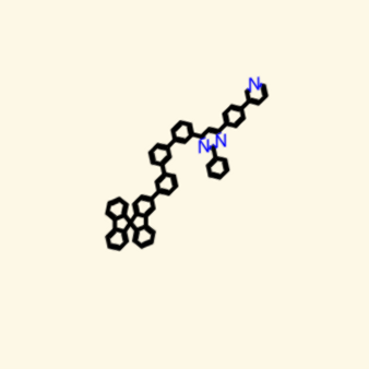 c1ccc(-c2nc(-c3ccc(-c4cccnc4)cc3)cc(-c3cccc(-c4cccc(-c5cccc(-c6ccc7c(c6)-c6ccccc6C76c7ccccc7-c7ccccc76)c5)c4)c3)n2)cc1